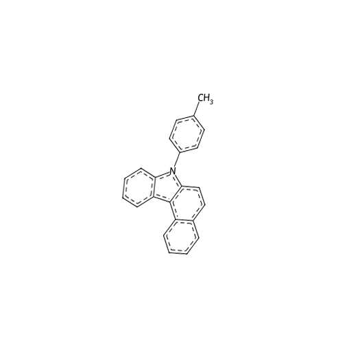 Cc1ccc(-n2c3ccccc3c3c4ccccc4ccc32)cc1